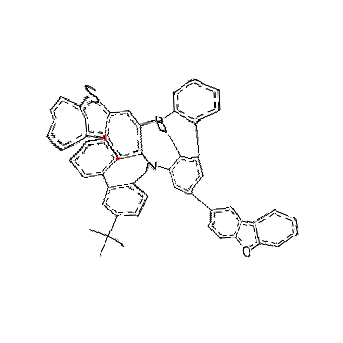 CC(C)(C)c1ccc(N2c3cc4c(cc3B3c5ccccc5-c5cc(-c6ccc7oc8ccccc8c7c6)cc2c53)sc2ccccc24)c(-c2ccccc2)c1